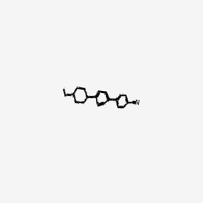 CCC1CCC(c2ccc(-c3ccc(C#N)cc3)cc2)CC1